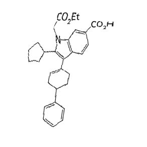 CCOC(=O)Cn1c(C2CCCC2)c(C2=CCC(c3ccccc3)CC2)c2ccc(C(=O)O)cc21